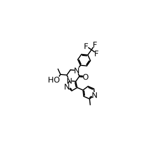 Cc1cc(-c2cnn3c2C(=O)N(c2ccc(C(F)(F)F)cc2)CC3C(C)O)ccn1